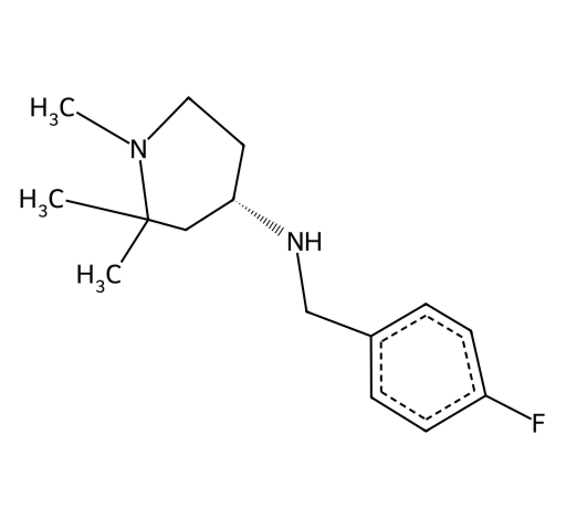 CN1CC[C@H](NCc2ccc(F)cc2)CC1(C)C